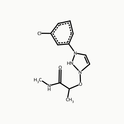 CNC(=O)C(C)ON1C=CN(c2cccc(Cl)c2)N1